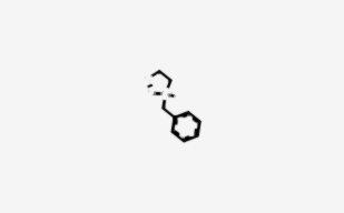 [O-][N+]1(Cc2ccccc2)CCN=N1